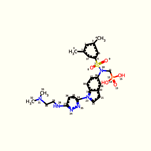 Cc1cc(C)cc(S(=O)(=O)N(CP(=O)(O)O)c2ccc3c(ccn3-c3ccc(NCCN(C)C)nn3)c2)c1